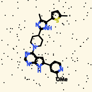 COc1cc(-c2cc3c(N4CCC(c5nc(C)c(-c6ccc(C)s6)[nH]5)CC4)ncnc3[nH]2)ccn1